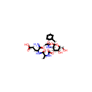 CO[C@@]1(Cc2ccccc2)O[C@H](CO)[C@@H](O)[C@H](OC(=O)NC(C)C(=O)NC(CCC(=O)O)C(N)=O)[C@H]1NC(C)=O